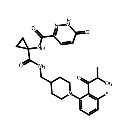 CC(O)C(=O)c1c(F)cccc1N1CCC(CNC(=O)C2(NC(=O)c3ccc(=O)[nH]n3)CC2)CC1